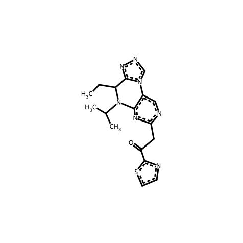 CCC1c2nncn2-c2cnc(CC(=O)c3nccs3)nc2N1C(C)C